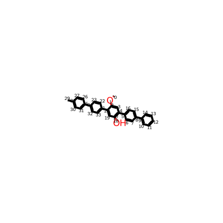 COc1cc(-c2ccc(-c3ccccc3)cc2)c(O)cc1-c1ccc(-c2ccc(C)cc2)cc1